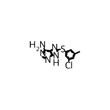 Cc1cc(Cl)cc(Sc2nc3c(N)ncnc3[nH]2)c1